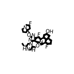 C#Cc1c(F)ccc2cc(O)cc(-c3nc4c5c(nc(OC[C@@]67CCCN6C[C@H](F)C7)nc5c3F)N3C[C@@H](CC)NC[C@H]3CO4)c12